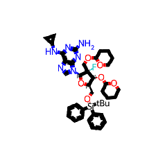 CC(C)(C)[Si](OC[C@H]1O[C@@H](n2cnc3c(NC4CC4)nc(N)nc32)[C@@](F)(COC2CCCCO2)[C@@H]1OC1CCCCO1)(c1ccccc1)c1ccccc1